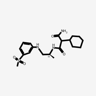 C[C@@H](CNc1cccc(S(C)(=O)=O)c1)NC(=O)C(C(N)=O)C1CCCCC1